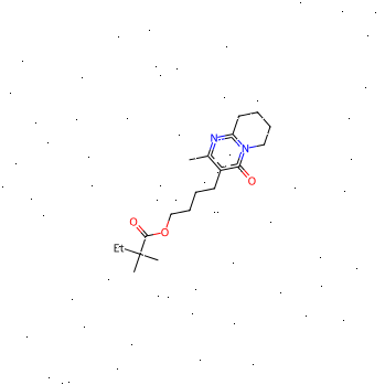 CCC(C)(C)C(=O)OCCCCc1c(C)nc2n(c1=O)CCCC2